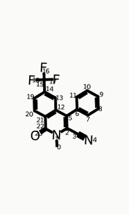 Cn1c(C#N)c(-c2ccccc2)c2cc(C(F)(F)F)ccc2c1=O